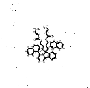 CC=CC(=O)OCCCC1(CCCOC(=O)C=CC)c2c(cccc2-c2cccc3ccccc23)-c2cccc(-c3cccc4ccccc34)c21